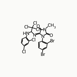 CN1C(=O)C(=NC(Nc2ccc(Cl)cc2Cl)C(Cl)(Cl)Cl)N(c2ccc(Br)cc2Br)C1=O